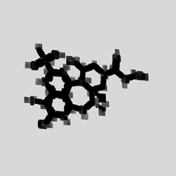 CCC1CN(C(=O)OC(C)(C)C)C[C@H]2[C@H](C)Oc3nc(Cl)c(F)c4nc(S(C)(=O)=O)nc(c34)N12